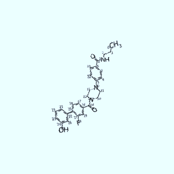 CCCNC(=O)c1ccc(N2CCN(C(=O)c3ccc(-c4cccc(O)c4)c(F)c3)CC2)cc1